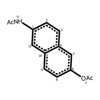 CC(=O)Nc1ccc2cc(OC(C)=O)ccc2c1